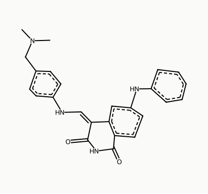 CN(C)Cc1ccc(N/C=C2\C(=O)NC(=O)c3ccc(Nc4ccccc4)cc32)cc1